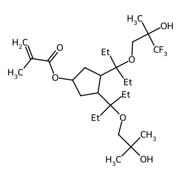 C=C(C)C(=O)OC1CC(C(CC)(CC)OCC(C)(C)O)C(C(CC)(CC)OCC(C)(O)C(F)(F)F)C1